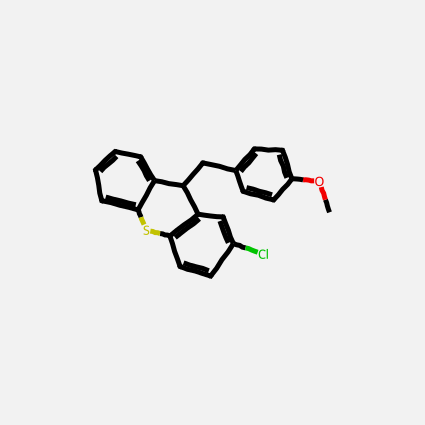 COc1ccc(CC2c3ccccc3Sc3ccc(Cl)cc32)cc1